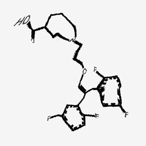 O=C(O)C1CCCN(CCOC=C(c2cc(F)ccc2F)c2cc(F)ccc2F)C1